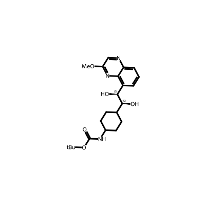 COc1cnc2cccc([C@H](O)[C@@H](O)C3CCC(NC(=O)OC(C)(C)C)CC3)c2n1